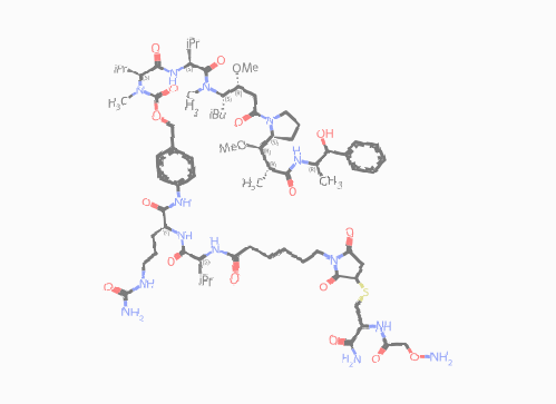 CCC(C)[C@@H]([C@@H](CC(=O)N1CCC[C@H]1[C@H](OC)[C@@H](C)C(=O)N[C@H](C)C(O)c1ccccc1)OC)N(C)C(=O)[C@@H](NC(=O)[C@H](C(C)C)N(C)C(=O)OCc1ccc(NC(=O)[C@H](CCCNC(N)=O)NC(=O)[C@@H](NC(=O)CCCCCN2C(=O)CC(SCC(NC(=O)CON)C(N)=O)C2=O)C(C)C)cc1)C(C)C